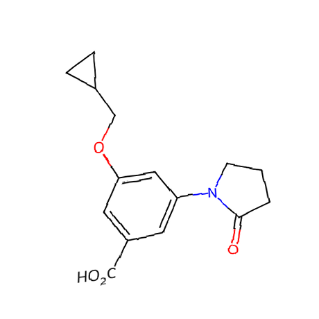 O=C(O)c1cc(OCC2CC2)cc(N2CCCC2=O)c1